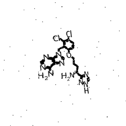 Nc1ncnc2c1ncn2Cc1c(OCCC[C@@H](N)c2nc[nH]n2)ccc(Cl)c1Cl